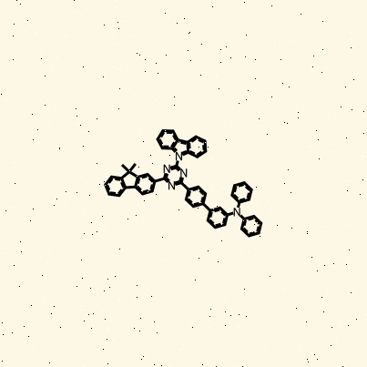 CC1(C)c2ccccc2-c2ccc(-c3nc(-c4ccc(-c5cccc(N(c6ccccc6)c6ccccc6)c5)cc4)nc(-n4c5ccccc5c5ccccc54)n3)cc21